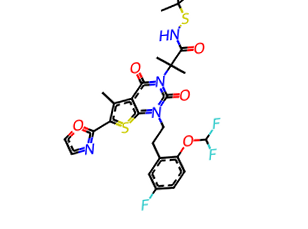 Cc1c(-c2ncco2)sc2c1c(=O)n(C(C)(C)C(=O)NSC1(C)CC1)c(=O)n2CCc1cc(F)ccc1OC(F)F